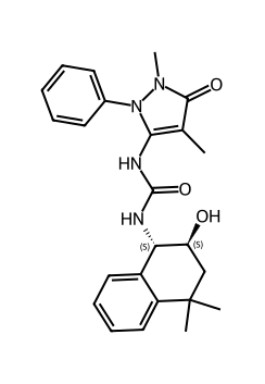 Cc1c(NC(=O)N[C@H]2c3ccccc3C(C)(C)C[C@@H]2O)n(-c2ccccc2)n(C)c1=O